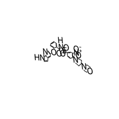 O=C(NS(=O)(=O)c1ccc(N2CCC(N3CCOCC3)CC2)c([N+](=O)[O-])c1)c1ccccc1Oc1cnc2[nH]ccc2c1